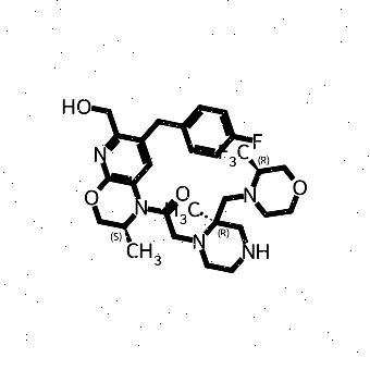 C[C@H]1COc2nc(CO)c(Cc3ccc(F)cc3)cc2N1C(=O)CN1CCNC[C@]1(C)CN1CCOC[C@@H]1C(F)(F)F